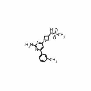 Cc1cccc(-c2cc(N3CC(NS(C)(=O)=O)C3)nc(N)n2)c1